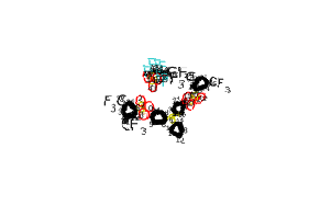 O=S(=O)(Oc1ccc([S+](c2ccccc2)c2ccc(OS(=O)(=O)c3cc(C(F)(F)F)cc(C(F)(F)F)c3)cc2)cc1)c1cc(C(F)(F)F)cc(C(F)(F)F)c1.O=S(=O)([O-])C(F)(F)C(F)(F)C(F)(F)C(F)(F)F